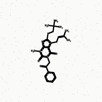 CC(C)=CCn1c(SCC(C)(C)N)nc2c1c(=O)n(CC(=O)c1ccccc1)c(=O)n2C